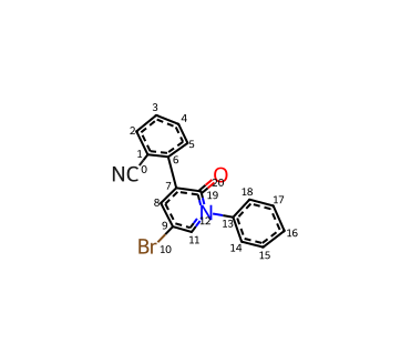 N#Cc1ccccc1-c1cc(Br)cn(-c2ccccc2)c1=O